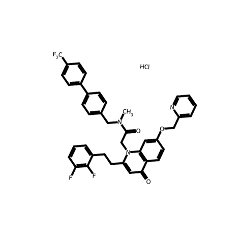 CN(Cc1ccc(-c2ccc(C(F)(F)F)cc2)cc1)C(=O)Cn1c(CCc2cccc(F)c2F)cc(=O)c2ccc(OCc3ccccn3)cc21.Cl